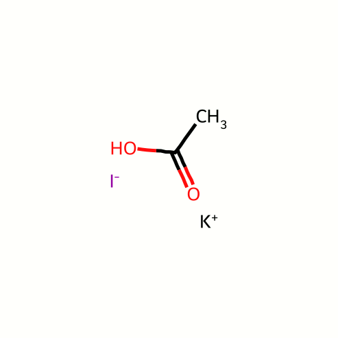 CC(=O)O.[I-].[K+]